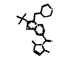 CC1C=CC(C)N1C(=O)c1ccn2c(CC3CCOCC3)c(C(C)(C)C)nc2c1